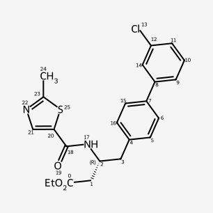 CCOC(=O)C[C@@H](Cc1ccc(-c2cccc(Cl)c2)cc1)NC(=O)c1cnc(C)s1